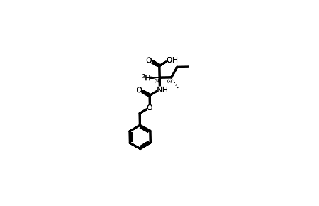 [2H][C@@](NC(=O)OCc1ccccc1)(C(=O)O)[C@@H](C)CC